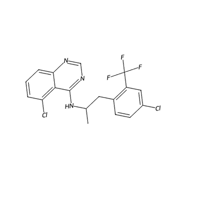 CC(Cc1ccc(Cl)cc1C(F)(F)F)Nc1ncnc2cccc(Cl)c12